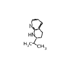 CC(C)C1CCc2cccnc2N1